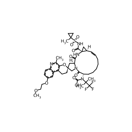 COCCOc1ccc2nc(C)c3c(c2c1)CC[C@]1(C[C@H]2C(=O)N[C@]4(C(=O)NS(=O)(=O)C5(C)CC5)C[C@H]4/C=C\CCCCC[C@H](N(C(=O)O)C(C)(C)C(F)(F)F)C(=O)N2C1)O3